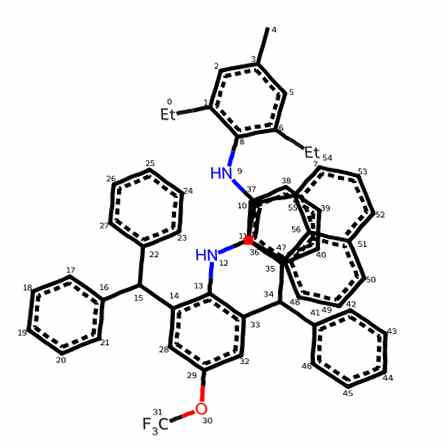 CCc1cc(C)cc(CC)c1NC1=C(Nc2c(C(c3ccccc3)c3ccccc3)cc(OC(F)(F)F)cc2C(c2ccccc2)c2ccccc2)c2cccc3cccc1c23